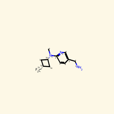 CN(c1ccc(CN)cn1)[C@H]1C[C@@H](C(F)(F)F)C1